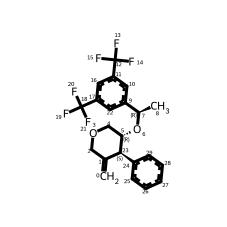 C=C1COC[C@H](O[C@H](C)c2cc(C(F)(F)F)cc(C(F)(F)F)c2)[C@H]1c1ccccc1